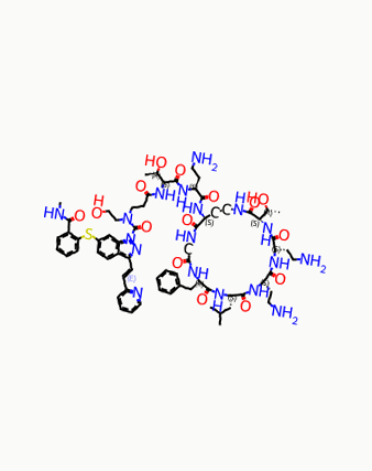 CNC(=O)c1ccccc1Sc1ccc2c(/C=C/c3ccccn3)nn(C(=O)N(CCO)CCC(=O)N[C@H](C(=O)N[C@@H](CCN)C(=O)N[C@H]3CCNC(=O)[C@H]([C@@H](C)O)NC(=O)[C@H](CCN)NC(=O)[C@H](CCN)NC(=O)[C@H](CC(C)C)NC(=O)[C@@H](Cc4ccccc4)NC(=O)CNC3=O)[C@@H](C)O)c2c1